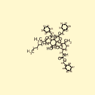 CCCCC[C@H](C)C(=O)N[C@@H]1C(OCc2ccccc2)[C@H](NC(=O)OCc2ccccc2)C(O[C@H]2OC(CNC(=O)OCc3ccccc3)CCC2C)C(O)[C@H]1O